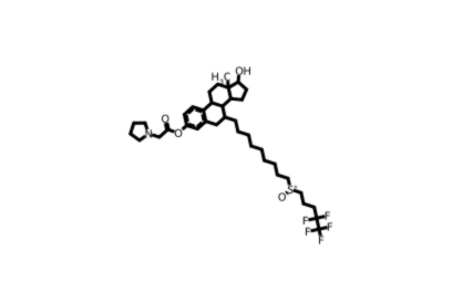 CC12CCC3c4ccc(OC(=O)CN5CCCC5)cc4CC(CCCCCCCCC[S+]([O-])CCCC(F)(F)C(F)(F)F)C3C1CCC2O